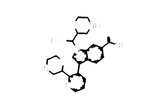 CC(C1CNCCO1)n1cc(-c2cccnc2C2CNCCO2)c2ccc(C(N)=O)cc21